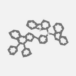 c1ccc(-c2c(-c3ccccc3)c3cc(-c4cccc(N(c5cc6ccccc6c6ccccc56)c5cccc6c5sc5ccccc56)c4)ccc3c3ccccc23)cc1